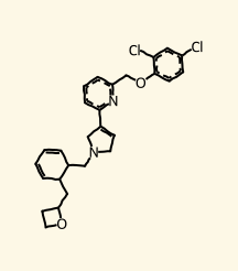 Clc1ccc(OCc2cccc(C3=CCN(CC4C=CC=CC4CC4CCO4)C3)n2)c(Cl)c1